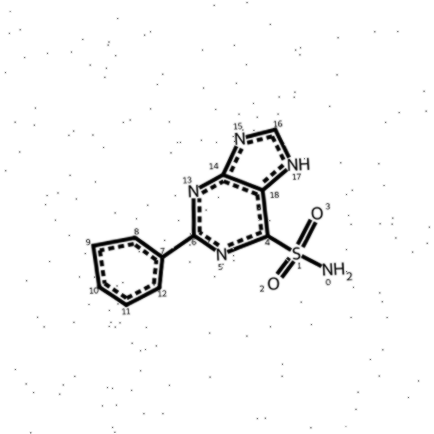 NS(=O)(=O)c1nc(-c2ccccc2)nc2nc[nH]c12